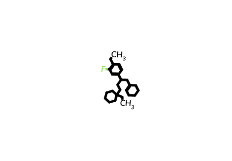 CCc1ccc(C(CCC2(CC)CCCCC2)CC2=CCCCC2)cc1F